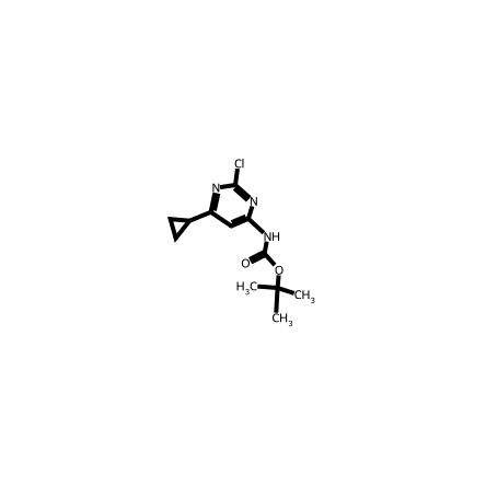 CC(C)(C)OC(=O)Nc1cc(C2CC2)nc(Cl)n1